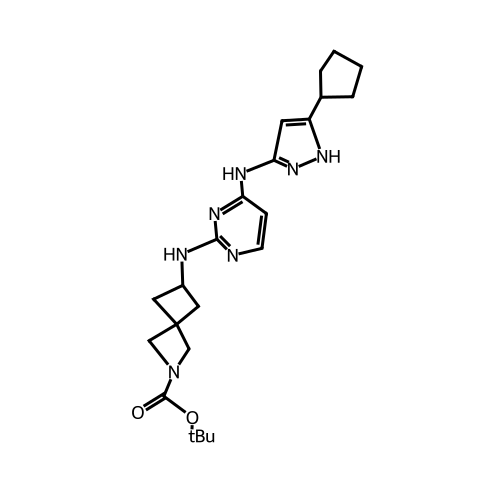 CC(C)(C)OC(=O)N1CC2(CC(Nc3nccc(Nc4cc(C5CCCC5)[nH]n4)n3)C2)C1